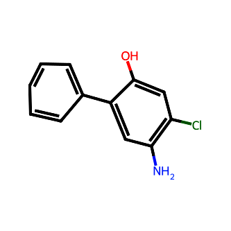 Nc1cc(-c2ccccc2)c(O)cc1Cl